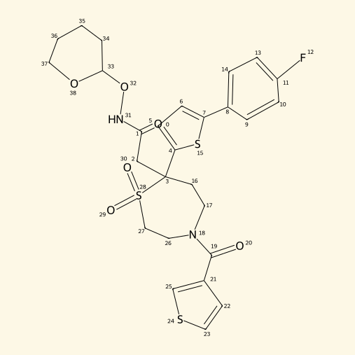 O=C(CC1(c2ccc(-c3ccc(F)cc3)s2)CCN(C(=O)c2ccsc2)CCS1(=O)=O)NOC1CCCCO1